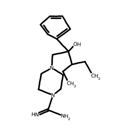 CCC(CC)C(O)(CN1CCN(C(=N)N)CC1)c1ccccc1